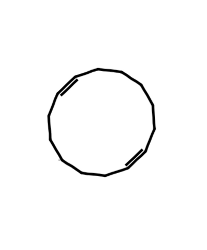 [CH]1CC/C=C\CCCCC/C=C\CC1